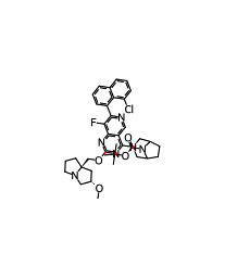 CO[C@@H]1CN2CCC[C@]2(COc2nc(N3CC4CCC(C3)N4C(=O)OC(C)(C)C)c3cnc(-c4cccc5cccc(Cl)c45)c(F)c3n2)C1